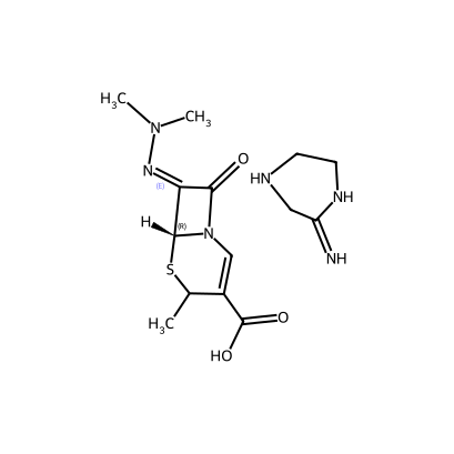 CC1S[C@@H]2/C(=N/N(C)C)C(=O)N2C=C1C(=O)O.N=C1CNCCN1